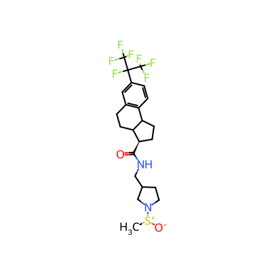 C[S+]([O-])N1CCC(CNC(=O)[C@@H]2CCC3c4ccc(C(F)(C(F)(F)F)C(F)(F)F)cc4CCC32)C1